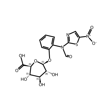 O=CN(c1ncc([N+](=O)[O-])s1)c1ccccc1O[C@@H]1O[C@H](C(=O)O)[C@@H](O)[C@H](O)[C@H]1O